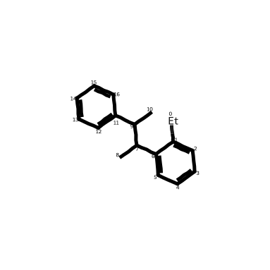 CCc1ccccc1C(C)C(C)c1ccccc1